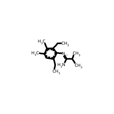 CCc1cc(C)c(C)c(CC)c1/N=C(\N)C(C)C